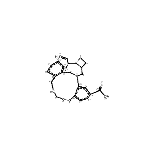 C=C[C@H](O)[C@@H]1CC[C@H]1CN1Cc2ccccc2CCCCOc2ccc(C(=O)O)cc21